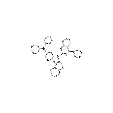 c1ccc(-c2nc(-n3c4cc(N(c5ccccc5)c5ccccc5)ccc4c4c5ccccc5ccc43)nc3ccccc23)cc1